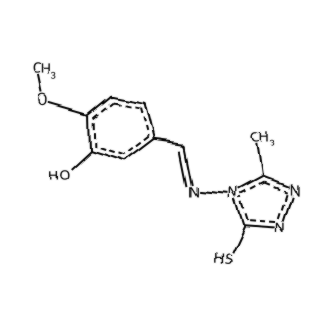 COc1ccc(C=Nn2c(C)nnc2S)cc1O